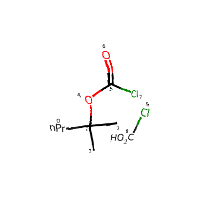 CCCC(C)(C)OC(=O)Cl.O=C(O)Cl